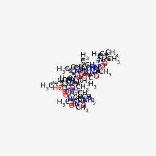 C/C=C/C[C@@H](C)[C@H](O)C(C(=O)N[C@H](CC)C(=O)N(C)CC(=O)N(C)[C@@H](CC(C)C)C(N)=O)N(C)C(=O)[C@H](C(C)C)N(C)C(=O)[C@@H](CC(C)C)N(C)C(=O)[C@H](CC(C)C)N(C)C(=O)[C@H](C)NC(=O)[C@@H](C)NC(=O)CN(C)C(=O)[C@H](C)C(C)C